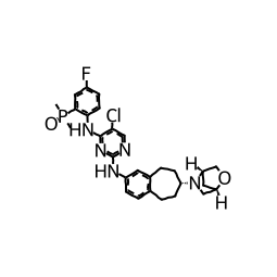 CP(C)(=O)c1cc(F)ccc1Nc1nc(Nc2ccc3c(c2)CC[C@H](N2C[C@@H]4C[C@H]2CO4)CC3)ncc1Cl